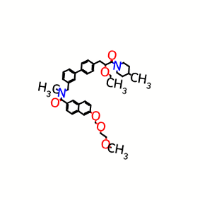 CCOC(Cc1ccc(-c2cccc(CN(C)C(=O)c3ccc4cc(OCOCCOC)ccc4c3)c2)cc1)C(=O)N1CCC(C)CC1